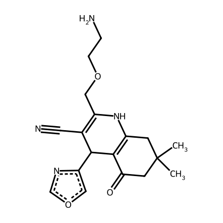 CC1(C)CC(=O)C2=C(C1)NC(COCCN)=C(C#N)C2c1cocn1